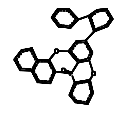 O=P12c3ccccc3Oc3cc(-c4ccccc4-c4ccccc4)cc(c31)Oc1c2ccc2ccccc12